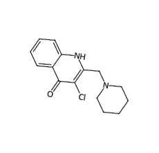 O=c1c(Cl)c(CN2CCCCC2)[nH]c2ccccc12